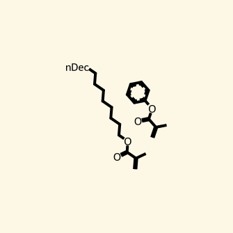 C=C(C)C(=O)OCCCCCCCCCCCCCCCCCC.C=C(C)C(=O)Oc1ccccc1